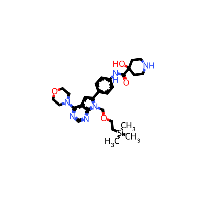 C[Si](C)(C)CCOCn1c(-c2ccc(NC(=O)C3(O)CCNCC3)cc2)cc2c(N3CCOCC3)ncnc21